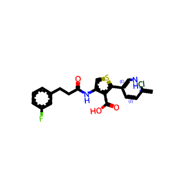 C=C(Cl)/C=C\C(=C/N)c1scc(NC(=O)CCc2cccc(F)c2)c1C(=O)O